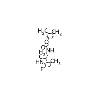 Cc1ccc(OCC(=O)NCCc2c(C)[nH]c3c(F)ccc(C)c23)cc1C